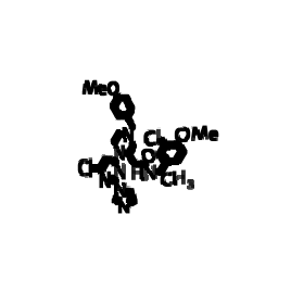 COc1ccc(CN2CCN(c3cc(Cl)nc(-n4ccnc4)n3)C(CC(=O)NC(C)c3ccc(OC)c(Cl)c3)C2)cc1